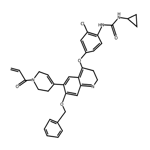 C=CC(=O)N1CC=C(c2cc3c(cc2OCc2ccccc2)=NCCC=3Oc2ccc(NC(=O)NC3CC3)c(Cl)c2)CC1